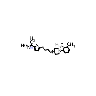 C/C(=N\O)c1ccc(SCCCN2CCN(c3cccc(C)c3C)CC2)s1